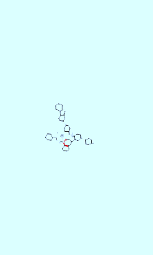 Cc1ccc(-c2ccc3c(c2)c2ccccc2n3-c2ccc(-c3ccc4c(c3)sc3ccccc34)cc2-c2nc(-c3ccccc3)nc(-c3ccccc3)n2)cc1